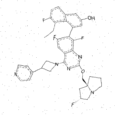 CCc1c(F)ccc2cc(O)cc(-c3c(F)cc4c(N5CC(c6ccncc6)C5)nc(OC[C@@]56CCCN5C[C@H](F)C6)nc4c3F)c12